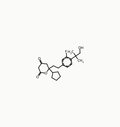 CC(C)(CO)c1ccc(CCC2(C3CCCC3)CC(=O)CC(=O)O2)cc1F